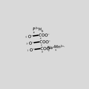 O=C([O-])[O-].O=C([O-])[O-].O=C([O-])[O-].[Mn+2].[Na+].[PH6+3]